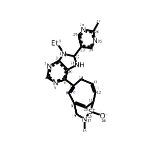 CCN1c2ncnc(/C3=C/C4=CC(/C=C\C3)[S+]([O-])N(C)C4)c2NC1c1cnc(C)nc1